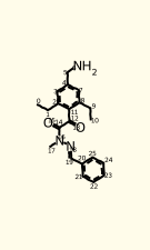 CCc1cc(CN)cc(CC)c1C(=O)C(=O)N(C)N=Cc1ccccc1